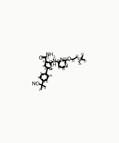 CC(C)(C#N)c1ccc(-c2cc(C(N)=O)c(Nc3ccnc(OCC[Si](C)(C)C)n3)s2)cc1